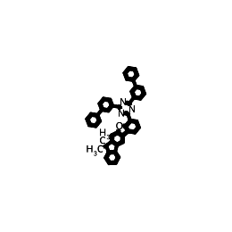 CC1(C)c2ccccc2-c2cc3c(cc21)oc1c(-c2nc(-c4cccc(-c5ccccc5)c4)nc(-c4cccc(-c5ccccc5)c4)n2)cccc13